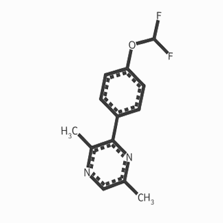 Cc1cnc(C)c(-c2ccc(OC(F)F)cc2)n1